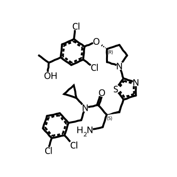 CC(O)c1cc(Cl)c(O[C@@H]2CCN(c3ncc(C[C@@H](CN)C(=O)N(Cc4cccc(Cl)c4Cl)C4CC4)s3)C2)c(Cl)c1